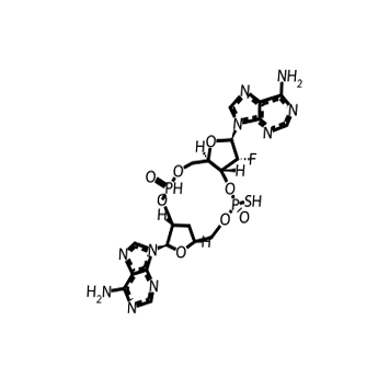 Nc1ncnc2c1ncn2[C@@H]1O[C@@H]2CO[PH](=O)O[C@@H]3C[C@@H](COP(=O)(S)O[C@H]2[C@H]1F)O[C@H]3n1cnc2c(N)ncnc21